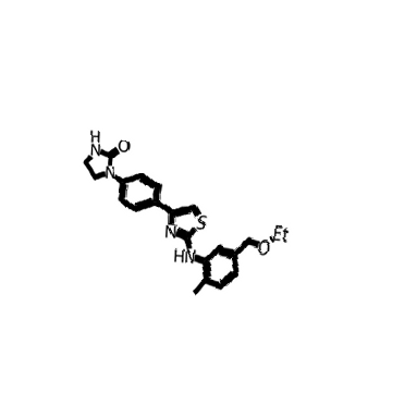 CCOCc1ccc(C)c(Nc2nc(-c3ccc(N4CCNC4=O)cc3)cs2)c1